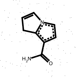 NC(=O)c1ccn2c1CC=C2